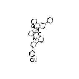 N#Cc1ccc(-c2ccc3c(c2)c2ccccc2n3-c2cccc3c2C(=O)N(c2ccc(-c4ccccc4)cc2-c2ccccc2)C3=O)cc1